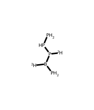 [2H]B(P)P([2H])PP